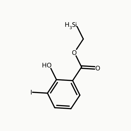 O=C(OC[SiH3])c1cccc(I)c1O